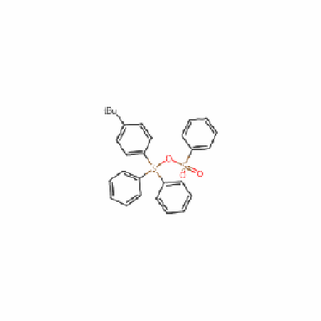 CC(C)(C)c1ccc(S(OS(=O)(=O)c2ccccc2)(c2ccccc2)c2ccccc2)cc1